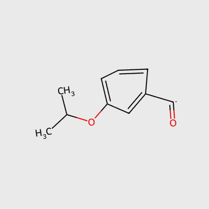 CC(C)Oc1cccc([C]=O)c1